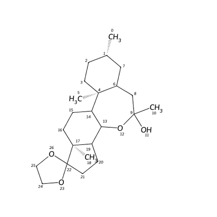 C[C@H]1CC[C@@]2(C)C(C1)CC(C)(O)OC1C2CC[C@@]2(C)C1CCC21OCCO1